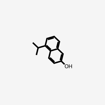 CC(C)c1cccc2cc(O)ccc12